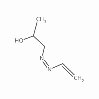 C=C/N=N\CC(C)O